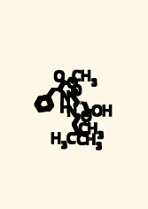 COC(=O)[C@H](Cc1ccccc1)NC(=O)[C@H](CC(=O)O)N=CCC(C)(C)C